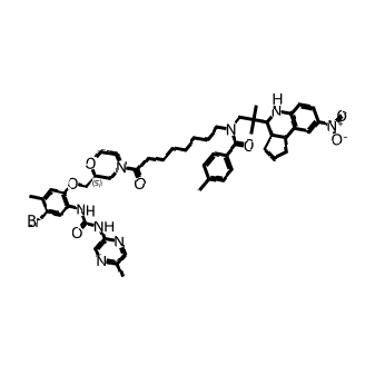 Cc1ccc(C(=O)N(CCCCCCCC(=O)N2CCO[C@H](COc3cc(C)c(Br)cc3NC(=O)Nc3cnc(C)cn3)C2)CC(C)(C)C2Nc3ccc([N+](=O)[O-])cc3C3CCCC32)cc1